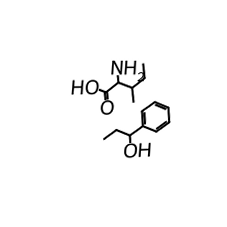 CCC(C)C(N)C(=O)O.CCC(O)c1ccccc1